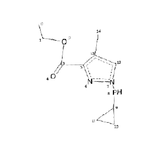 CCOC(=O)c1nn(PC2CC2)cc1I